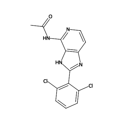 CC(=O)Nc1nccc2nc(-c3c(Cl)cccc3Cl)[nH]c12